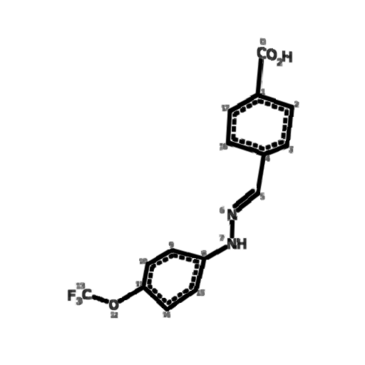 O=C(O)c1ccc(C=NNc2ccc(OC(F)(F)F)cc2)cc1